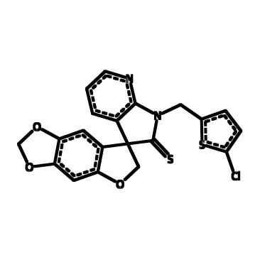 S=C1N(Cc2ccc(Cl)s2)c2ncccc2C12COc1cc3c(cc12)OCO3